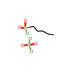 CCCCCS(=O)(=O)Cl.O=S(=O)(Cl)Cl